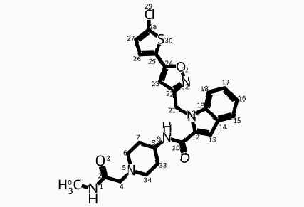 CNC(=O)CN1CCC(NC(=O)c2cc3ccccc3n2Cc2cc(-c3ccc(Cl)s3)on2)CC1